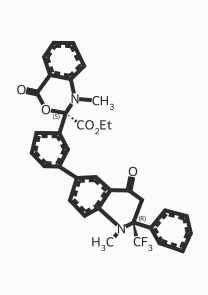 CCOC(=O)[C@]1(c2cccc(-c3ccc4c(c3)C(=O)C[C@@](c3ccccc3)(C(F)(F)F)N4C)c2)OC(=O)c2ccccc2N1C